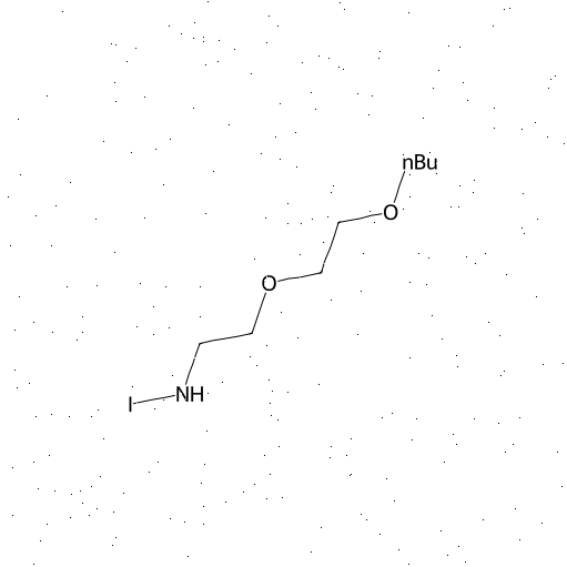 CCCCOCCOCCNI